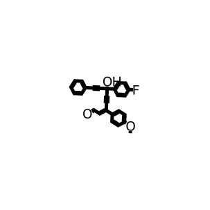 COc1ccc(/C(C#CC(O)(C#Cc2ccccc2)c2ccc(F)cc2)=C/C=O)cc1